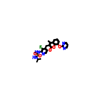 Cc1c(Cc2ccnc(NS(=O)(=O)NC(C)C)c2F)c(=O)oc2c(Oc3ncccn3)cccc12